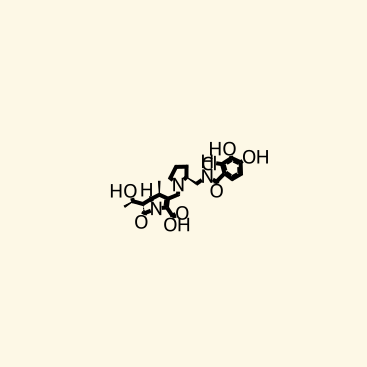 C[C@@H](O)[C@H]1C(=O)N2C(C(=O)O)=C(CN3CCC[C@H]3CNC(=O)c3ccc(O)c(O)c3Cl)[C@H](C)[C@H]12